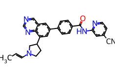 CC=CN1CCC(c2cc(-c3ccc(C(=O)Nc4cc(C#N)ccn4)cc3)cc3cncnc23)C1